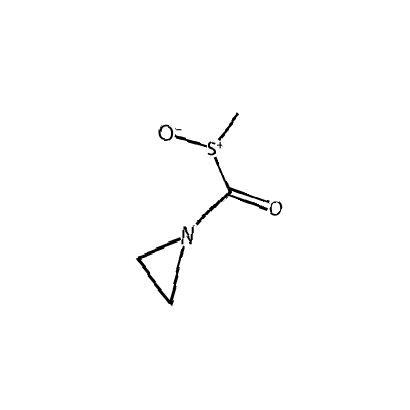 C[S+]([O-])C(=O)N1CC1